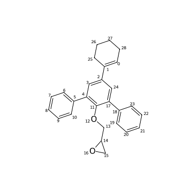 C1=C(c2cc(-c3ccccc3)c(OCC3CO3)c(-c3ccccc3)c2)CCCC1